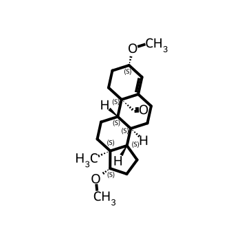 CO[C@@H]1C=C2CC[C@H]3[C@@H]4CC[C@H](OC)[C@@]4(C)CC[C@@H]3[C@@]2(C=O)CC1